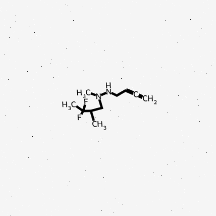 C=C=CCNN(C)CC(C)C(C)(F)F